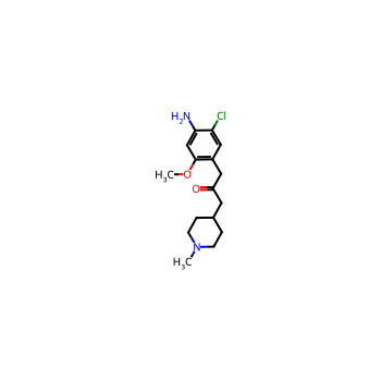 COc1cc(N)c(Cl)cc1CC(=O)CC1CCN(C)CC1